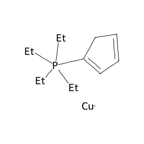 CCP(CC)(CC)(CC)C1=CC=CC1.[Cu]